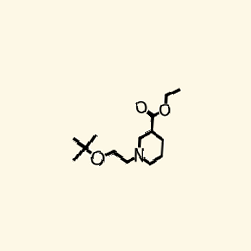 CCOC(=O)C1CCCN(CCOC(C)(C)C)C1